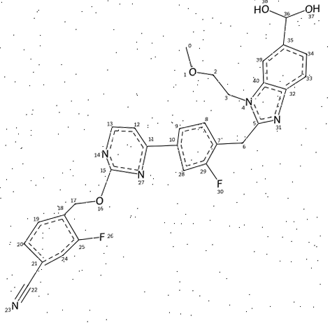 COCCn1c(Cc2ccc(-c3ccnc(OCc4ccc(C#N)cc4F)n3)cc2F)nc2ccc(C(O)O)cc21